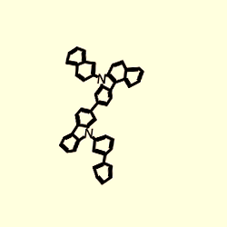 c1ccc(-c2cccc(-n3c4ccccc4c4ccc(-c5ccc6c7c8ccccc8ccc7n(-c7ccc8ccccc8c7)c6c5)cc43)c2)cc1